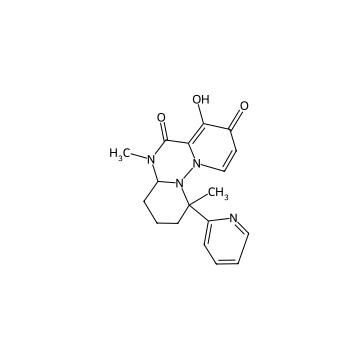 CN1C(=O)c2c(O)c(=O)ccn2N2C1CCCC2(C)c1ccccn1